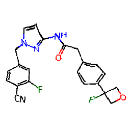 N#Cc1ccc(Cn2ccc(NC(=O)Cc3ccc(C4(F)COC4)cc3)n2)cc1F